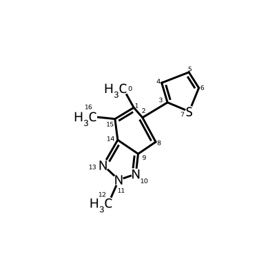 Cc1c(-c2cccs2)cc2nn(C)nc2c1C